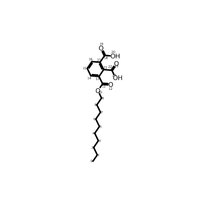 CCCCCCCCCCOC(=O)c1cccc(C(=O)O)c1C(=O)O